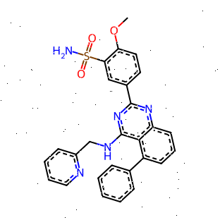 COc1ccc(-c2nc(NCc3ccccn3)c3c(-c4ccccc4)cccc3n2)cc1S(N)(=O)=O